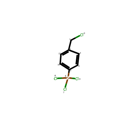 ClCc1ccc(S(Cl)(Cl)Cl)cc1